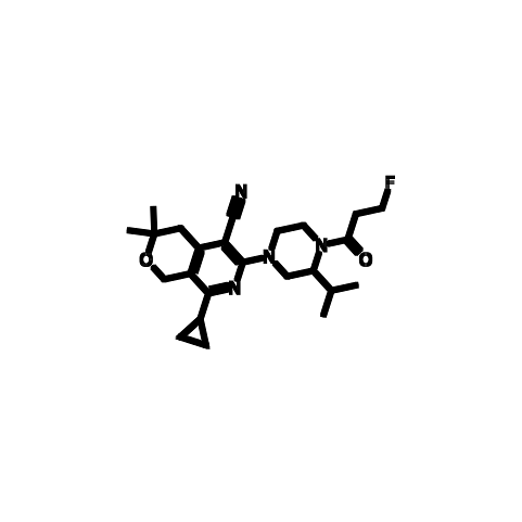 CC(C)C1CN(c2nc(C3CC3)c3c(c2C#N)CC(C)(C)OC3)CCN1C(=O)CCF